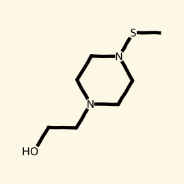 CSN1CCN(CCO)CC1